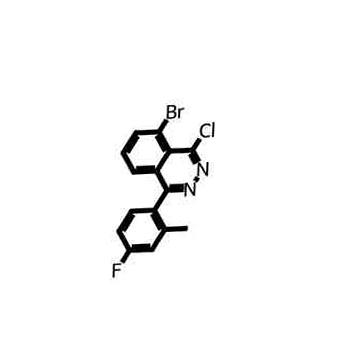 Cc1cc(F)ccc1-c1nnc(Cl)c2c(Br)cccc12